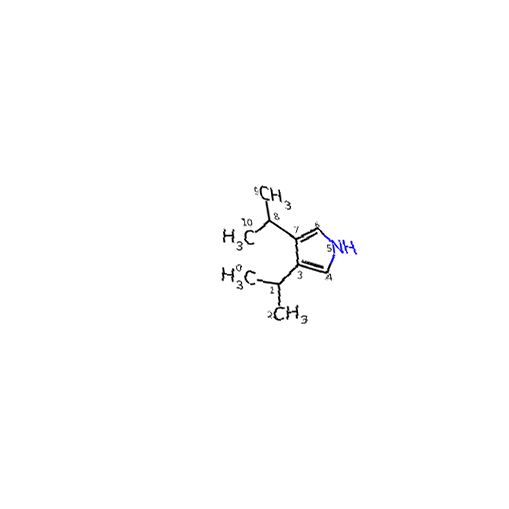 CC(C)c1c[nH]cc1C(C)C